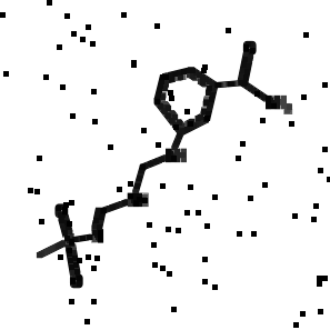 CS(=O)(=O)N=CNCNc1cccc(C(N)=O)c1